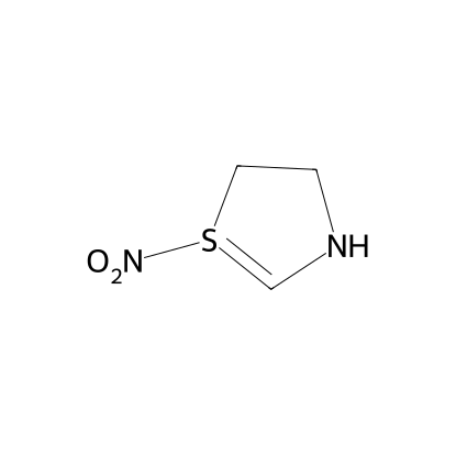 O=[N+]([O-])S1=CNCC1